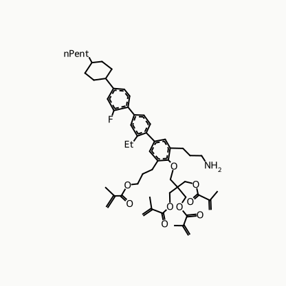 C=C(C)C(=O)OCCCc1cc(-c2ccc(-c3ccc(C4CCC(CCCCC)CC4)cc3F)cc2CC)cc(CCCN)c1OCC(COC(=O)C(=C)C)(COC(=O)C(=C)C)COC(=O)C(=C)C